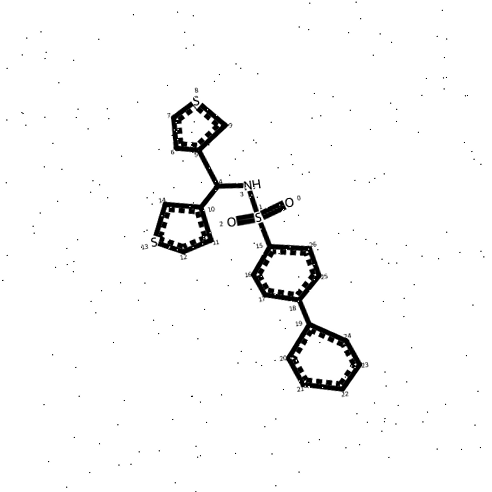 O=S(=O)(NC(c1ccsc1)c1ccsc1)c1ccc(-c2ccccc2)cc1